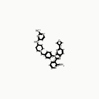 N#Cc1nccc(NC2CCN(Cc3ccc(-n4c(-c5cccnc5N)nc5ccc(C6COC6)nc54)cc3)CC2)n1